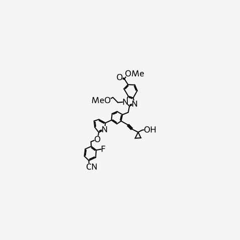 COCCn1c(Cc2ccc(-c3cccc(OCc4ccc(C#N)cc4F)n3)cc2C#CC2(CO)CC2)nc2ccc(C(=O)OC)cc21